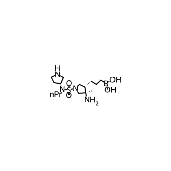 CCCN([C@@H]1CCNC1)S(=O)(=O)N1C[C@H](CCCB(O)O)[C@@](C)(N)C1